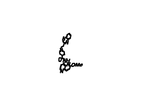 COc1ccc2nccc(NC(=O)C3CCN(CCc4cnc5ccccc5n4)CC3)c2n1